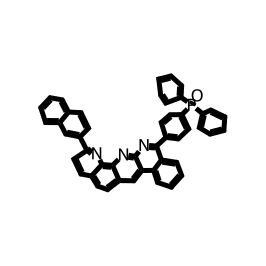 O=P(c1ccccc1)(c1ccccc1)c1ccc(-c2nc3nc4c(ccc5ccc(-c6ccc7ccccc7c6)nc54)cc3c3ccccc23)cc1